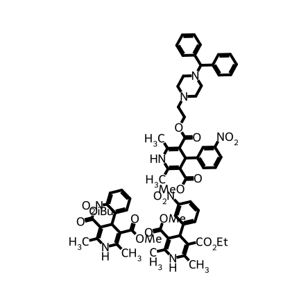 CCOC(=O)C1=C(C)NC(C)=C(C(=O)OC)C1c1cccc([N+](=O)[O-])c1.COC(=O)C1=C(C)NC(C)=C(C(=O)OCC(C)C)C1c1ccccc1[N+](=O)[O-].COC(=O)C1=C(C)NC(C)=C(C(=O)OCCN2CCN(C(c3ccccc3)c3ccccc3)CC2)C1c1cccc([N+](=O)[O-])c1